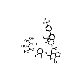 CCNC(C)(C)CN(Cc1ccc(-c2ccc(C(F)(F)F)cc2)cc1)C(=O)Cn1c(CCc2cccc(F)c2F)nc(=O)c2c1CCC2.O=C(O)C(O)C(O)C(=O)O